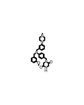 COc1cccc(CN(Cc2cccc(N3CCN(C)CC3)c2)c2ccc(CN3CC(=O)NCC3=O)cc2)c1